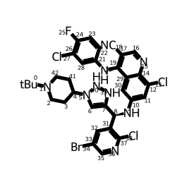 CC(C)(C)N1CCC(N2C=C([C@@H](Nc3cc(Cl)c4ncc(C#N)c(Nc5ccc(F)c(Cl)c5)c4c3)c3cc(Br)cnc3Cl)NN2)CC1